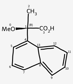 CO[C@@](C)(C(=O)O)c1cccc2ccccc12